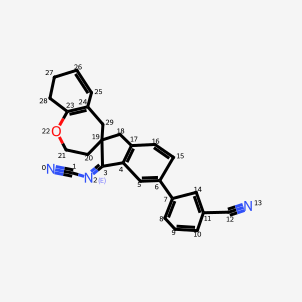 N#C/N=C1/c2cc(-c3cccc(C#N)c3)ccc2CC12CCOC1=C(C=CCC1)C2